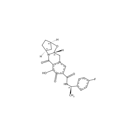 C[C@@H](NC(=O)c1cn2c(c(O)c1=O)C(=O)N1[C@H]3CC[C@H](C3)O[C@@H]1C2)c1ccc(F)cc1